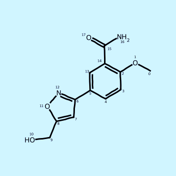 COc1ccc(-c2cc(CO)on2)cc1C(N)=O